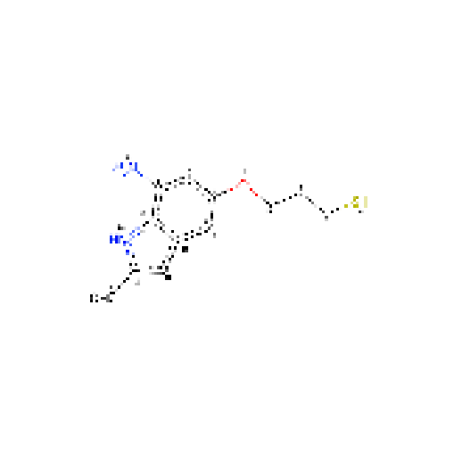 Nc1cc(OCCCS)cc2cc(C=O)[nH]c12